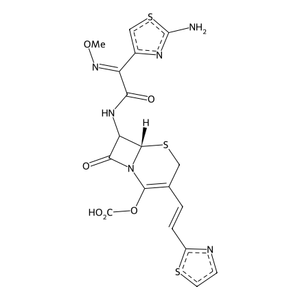 CON=C(C(=O)NC1C(=O)N2C(OC(=O)O)=C(C=Cc3nccs3)CS[C@@H]12)c1csc(N)n1